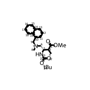 COC(=O)C(C)[C@@H](CN(C)Cc1cccc2ccccc12)NC(=O)OC(C)(C)C